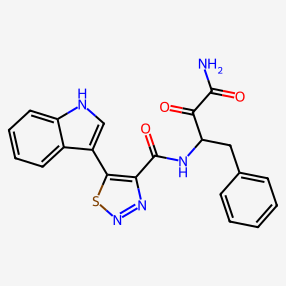 NC(=O)C(=O)C(Cc1ccccc1)NC(=O)c1nnsc1-c1c[nH]c2ccccc12